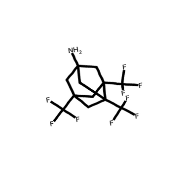 NC12CC3(C(F)(F)F)CC(C(F)(F)F)(C1)C(C(F)(F)F)(C2)C3